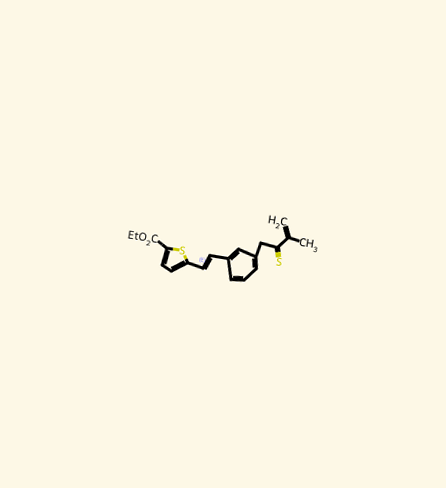 C=C(C)C(=S)Cc1cccc(/C=C/c2ccc(C(=O)OCC)s2)c1